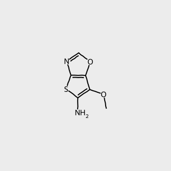 COc1c(N)sc2ncoc12